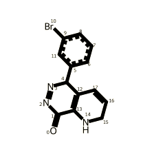 O=C1N=NC(c2cccc(Br)c2)C2=C1NCC=C2